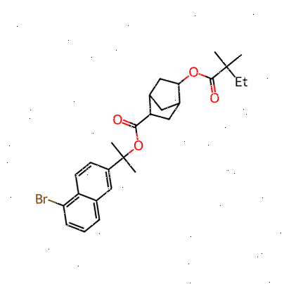 CCC(C)(C)C(=O)OC1CC2CC1CC2C(=O)OC(C)(C)c1ccc2c(Br)cccc2c1